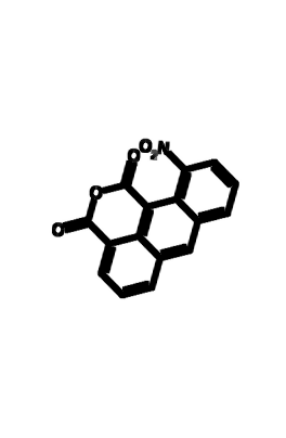 O=C1OC(=O)c2c3c1cccc3cc1cccc([N+](=O)[O-])c21